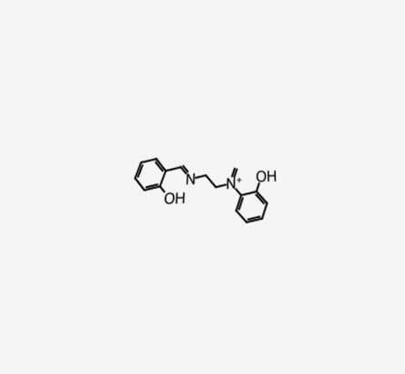 C=[N+](CCN=Cc1ccccc1O)c1ccccc1O